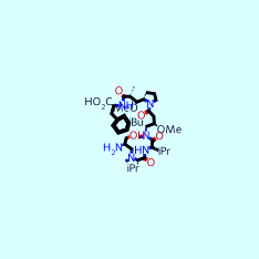 CC[C@H](C)[C@@H]([C@@H](CC(=O)N1CCC[C@H]1[C@H](OC)[C@@H](C)C(=O)N[C@@H](Cc1ccccc1)C(=O)O)OC)N(C)C(=O)C(NC(=O)[C@H](C(C)C)N(C)C[C@@H](N)CO)C(C)C